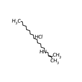 CCCCCCCCCCCCCCNCC=C(C)C.Cl